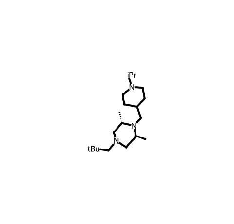 CC(C)N1CCC(CN2[C@@H](C)CN(CC(C)(C)C)C[C@@H]2C)CC1